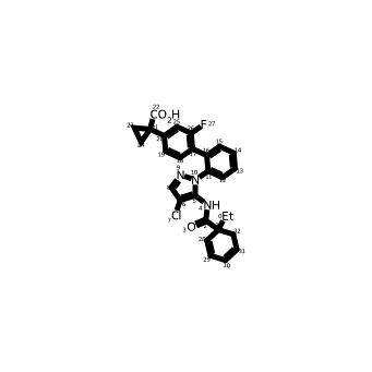 CCC1(C(=O)Nc2c(Cl)cnn2-c2ccccc2-c2ccc(C3(C(=O)O)CC3)cc2F)C=CC=CC1